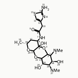 CNC1C2OC3(O)C(NC(=O)Cc4csc(N)n4)C[C@@H](C)OC3OC2[C@@H](O)[C@H](NC)[C@@H]1O